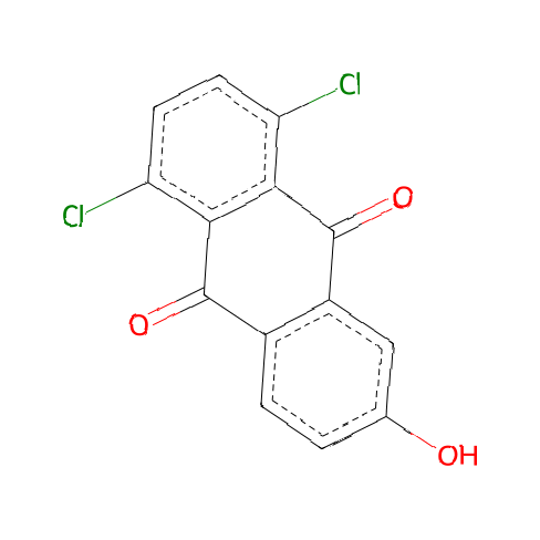 O=C1c2ccc(O)cc2C(=O)c2c(Cl)ccc(Cl)c21